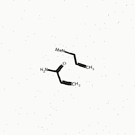 C=CC(N)=O.C=CCNC